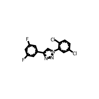 Fc1cc(F)cc(-c2cn(-c3cc(Cl)ccc3Cl)nn2)c1